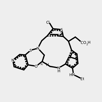 CCNc1ccc2c(C)c1NC[C@@H]1CN(Cc3cc(sc3Cl)C2CC(=O)O)Sc2cnccc2O1